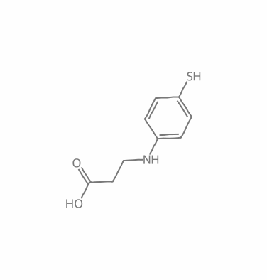 O=C(O)CCNc1ccc(S)cc1